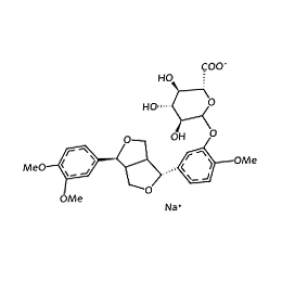 COc1ccc([C@H]2OCC3C2CO[C@H]3c2ccc(OC)c(OC3O[C@@H](C(=O)[O-])[C@H](O)[C@@H](O)[C@@H]3O)c2)cc1OC.[Na+]